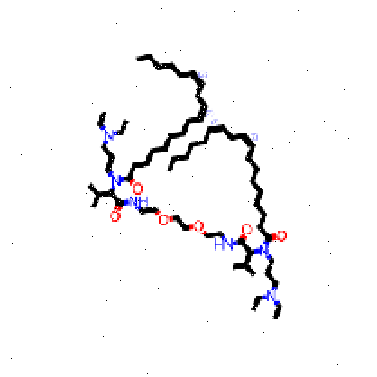 CCCCC/C=C\C/C=C\CCCCCCCC(=O)N(CCCN(CC)CC)C(C(=O)NCCOCCOCCNC(=O)C(C(C)C)N(CCCN(CC)CC)C(=O)CCCCCCC/C=C\C/C=C\CCCCC)C(C)C